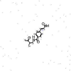 [2H]C(=O)/C=C/c1ccc(C(=O)NCC(C)C(C)=O)cc1